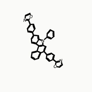 c1ccc(-n2c3cc(-c4ccc(-c5ncco5)cc4)ccc3c3c4ccccc4c(-c4ccc(-c5ncco5)cc4)cc32)cc1